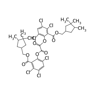 CC1CC(COC(=O)c2c(Cl)c(Cl)cc(Cl)c2OC(=O)C(=O)Oc2c(Cl)cc(Cl)c(Cl)c2C(=O)OCC2CC(C)C(C)(C)C2)CC1(C)C